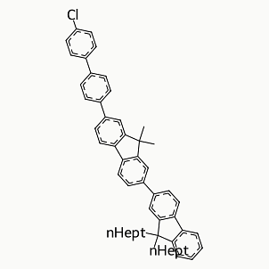 CCCCCCCC1(CCCCCCC)c2ccccc2-c2ccc(-c3ccc4c(c3)C(C)(C)c3cc(-c5ccc(-c6ccc(Cl)cc6)cc5)ccc3-4)cc21